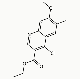 CCOC(=O)c1cnc2cc(OC)c(C)cc2c1Cl